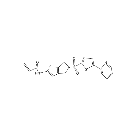 C=CC(=O)Nc1cc2c(s1)CN(S(=O)(=O)c1ccc(-c3ccccn3)s1)C2